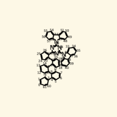 c1ccc(-c2ccccc2-c2ccccc2-c2ccccc2-c2ccccc2-c2nc(-n3c4ccccc4c4ccccc43)nc(-n3c4ccccc4c4ccccc43)n2)cc1